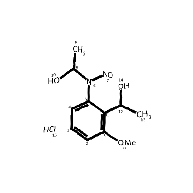 COc1cccc(N(N=O)C(C)O)c1C(C)O.Cl